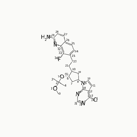 COC(C)(C)O[C@H]1CC(n2ccc3c(Cl)ncnc32)CC1CCc1ccc2ccc(N)nc2c1F